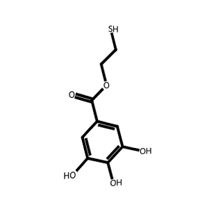 O=C(OCCS)c1cc(O)c(O)c(O)c1